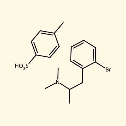 CC(Cc1ccccc1Br)N(C)C.Cc1ccc(S(=O)(=O)O)cc1